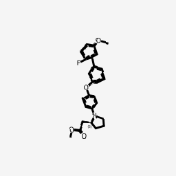 COC(=O)C[C@@H]1CCCN1c1ccc(Oc2cccc(-c3cc(OC)ccc3F)c2)cc1